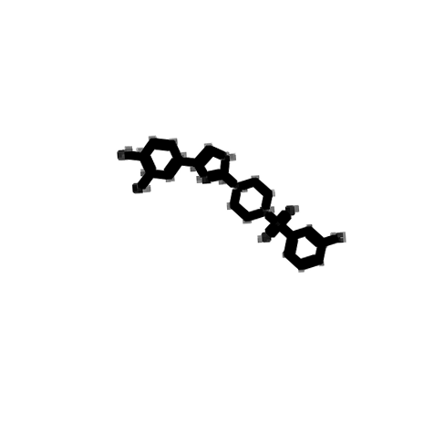 O=S(=O)(c1cccc(Cl)c1)N1CCN(c2nc(-c3ccc(Cl)c(Cl)c3)cs2)CC1